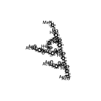 CNc1ccc(COC(=O)Nc2ccc(COC(=O)Nc3ccc(C=C(COC(=O)Nc4ccc(C=C(COC(=O)Nc5ccc(C=C(COC(C)=O)COC(C)=O)cc5)COC(=O)Nc5ccc(C=C(COC(C)=O)COC(C)=O)cc5)cc4)COC(=O)Nc4ccc(C=C(COC(=O)Nc5ccc(C=C(COC(C)=O)COC(C)=O)cc5)COC(=O)Nc5ccc(C=C(COC(C)=O)COC(C)=O)cc5)cc4)cc3)cc2)cc1